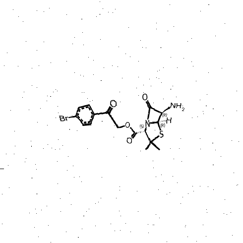 CC1(C)S[C@@H]2[C@H](N)C(=O)N2[C@H]1C(=O)OCC(=O)c1ccc(Br)cc1